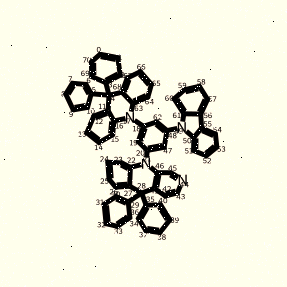 c1ccc(C2(c3ccccc3)c3ccccc3N(c3cc(N4c5ccccc5C(c5ccccc5)(c5ccccc5)c5ccncc54)cc(-n4c5ccccc5c5ccccc54)c3)c3ccccc32)cc1